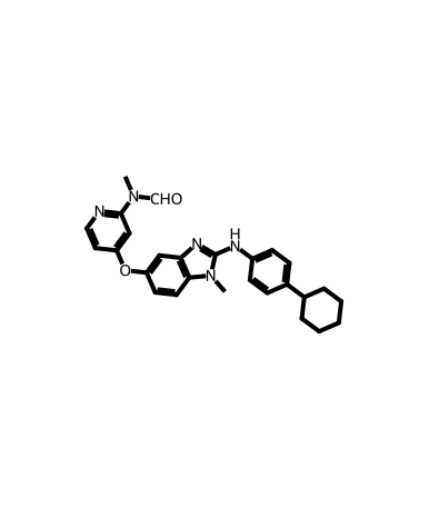 CN(C=O)c1cc(Oc2ccc3c(c2)nc(Nc2ccc(C4CCCCC4)cc2)n3C)ccn1